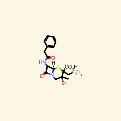 CC1(Br)CN2C(=O)C(NC(=O)Cc3ccccc3)[C@H]2SC1(CC(Cl)(Cl)Cl)C(=O)O